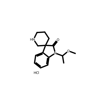 COC(C)N1C(=O)C2(CCCNC2)c2ccccc21.Cl